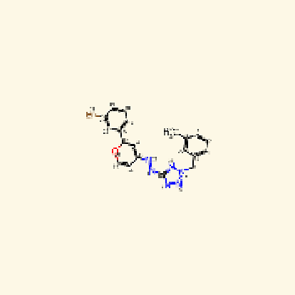 Cc1cccc(Cn2nnc(N=NC3=CC(c4cccc(Br)c4)OC=C3)n2)c1